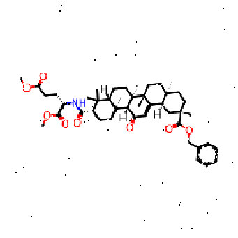 COC(=O)CC[C@H](NC(=O)[C@H]1CC[C@]2(C)[C@H]3C(=O)C=C4[C@@H]5C[C@@](C)(C(=O)OCc6ccccc6)CC[C@]5(C)CC[C@@]4(C)[C@]3(C)CC[C@H]2C1(C)C)C(=O)OC